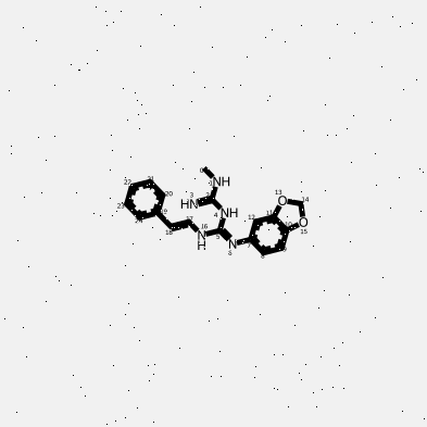 CNC(=N)NC(=Nc1ccc2c(c1)OCO2)NC=Cc1ccccc1